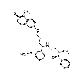 CN(CCNC(CCCOc1ccc2c(ccc(=O)n2C)c1)c1ccncc1)C(=O)c1ccccc1.Cl.Cl